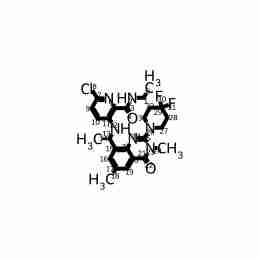 CCNC(=O)c1nc(Cl)ccc1N[C@H](C)c1cc(C)cc2c(=O)n(C)c(N3CCC(F)(F)CC3)nc12